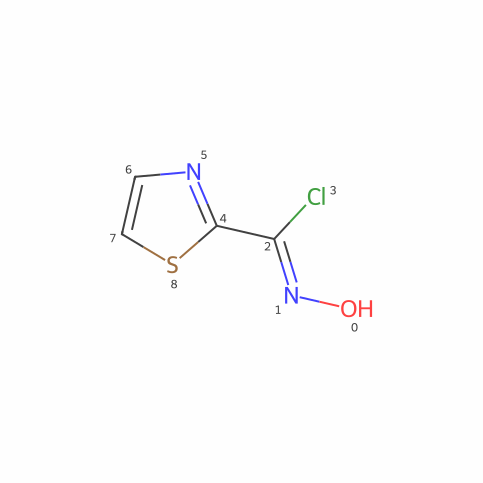 O/N=C(\Cl)c1nccs1